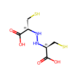 O=C(O)[C@H](CS)NN[C@@H](CS)C(=O)O